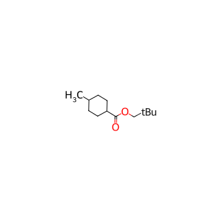 CC1CCC(C(=O)OCC(C)(C)C)CC1